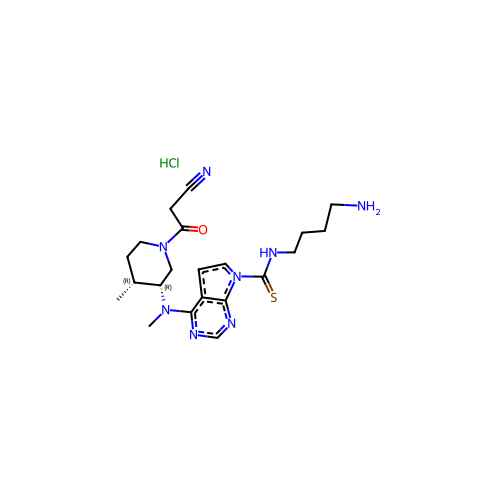 C[C@@H]1CCN(C(=O)CC#N)C[C@@H]1N(C)c1ncnc2c1ccn2C(=S)NCCCCN.Cl